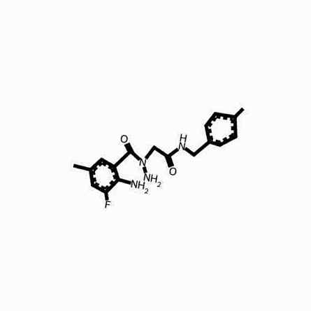 Cc1ccc(CNC(=O)CN(N)C(=O)c2cc(C)cc(F)c2N)cc1